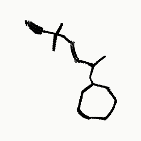 CC(/N=N/C(C)(C)C#N)C1CCCCCC1